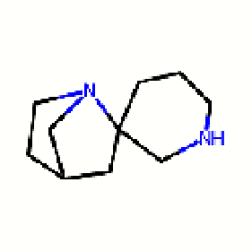 C1CNCC2(C1)CC1CCN2C1